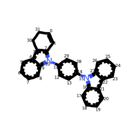 C1=Cc2c(c3ccccc3n2-c2ccc(-n3c4ccccc4c4ccccc43)cc2)CC1